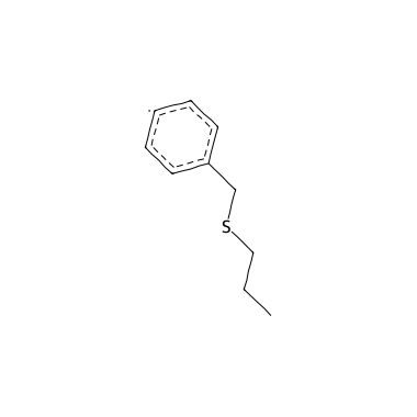 CCCSCc1cc[c]cc1